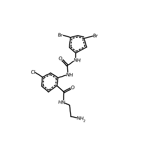 NCCNC(=O)c1ccc(Cl)cc1NC(=O)Nc1cc(Br)cc(Br)c1